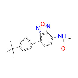 CC(=O)Nc1ccc(-c2ccc(C(C)(C)C)cc2)c2nonc12